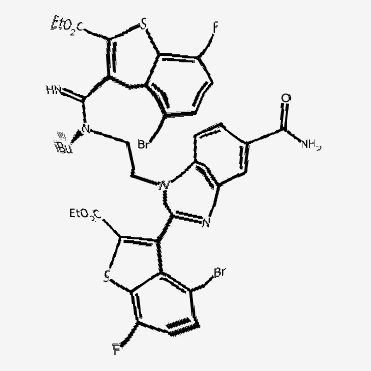 CCOC(=O)c1sc2c(F)ccc(Br)c2c1C(=N)N(CCn1c(-c2c(C(=O)OCC)sc3c(F)ccc(Br)c23)nc2cc(C(N)=O)ccc21)[C@H](C)CC